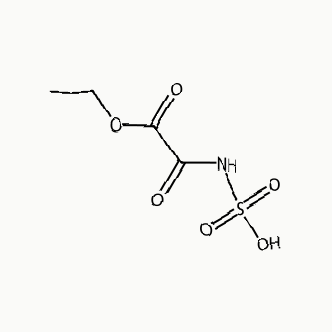 CCOC(=O)C(=O)NS(=O)(=O)O